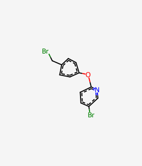 BrCc1ccc(Oc2ccc(Br)cn2)cc1